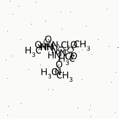 COc1cc(OC)c(Cl)c(-c2cc3cnc(N[C@@H]4COCC[C@@H]4NC(C)=O)nc3c(NCCOCCN(C)C)n2)c1Cl